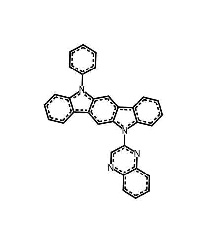 c1ccc(-n2c3ccccc3c3cc4c(cc32)c2ccccc2n4-c2cnc3ccccc3n2)cc1